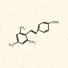 COc1ccc(C=Cc2c(C)cc(C)cc2C)cc1